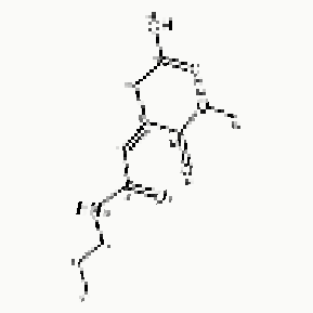 CCCNC(=O)/C=C(/CC(=O)O)C(=O)OC